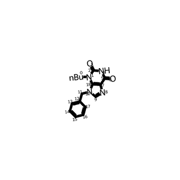 CCCCn1c(=O)[nH]c(=O)c2ncn(Cc3ccccc3)c21